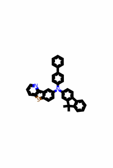 CC1(C)c2ccccc2-c2ccc(N(c3ccc(-c4ccccc4)cc3)c3ccc4sc5cccnc5c4c3)cc21